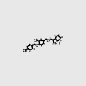 Clc1ccc(COc2ccc(COCc3c[nH]c4ncccc34)cc2Cl)cc1